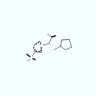 CCS(=O)(=O)c1cn([C@@H](CC2CCCC2)C(=O)Cl)cn1